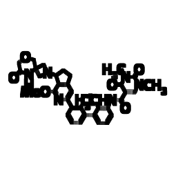 COc1nc(-c2cccc(-c3cccc(NC(=O)c4cn(C)c(=O)n(C)c4=O)c3C)c2Cl)cc2c1[C@@H](N1CC3(COCC(=O)N3)C1)CC2